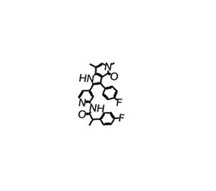 Cc1cn(C)c(=O)c2c(-c3ccc(F)cc3)c(-c3ccnc(NC(=O)C(C)c4ccc(F)cc4)c3)[nH]c12